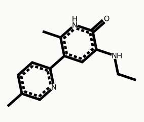 CCNc1cc(-c2ccc(C)cn2)c(C)[nH]c1=O